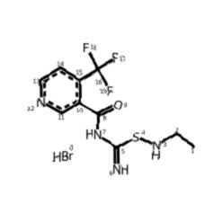 Br.CCNSC(=N)NC(=O)c1cnccc1C(F)(F)F